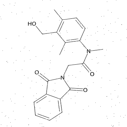 Cc1ccc(N(C)C(=O)CN2C(=O)c3ccccc3C2=O)c(C)c1CO